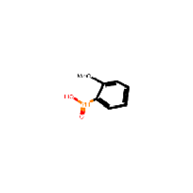 COc1ccccc1[PH](=O)O